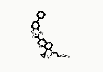 COCCN(C)c1ccc2cc(C(=O)Nc3cc(-c4ccccc4)ccc3N)cnc2c1C1CC1